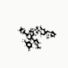 CC1C[C@](O)(Cn2ccnc2)C[C@H](C)N1S(=O)(=O)N[C@H]1CC2=C(c3ccn(C(F)F)n3)[C@H](c3ccc(F)cc3Cl)N=C(c3nccs3)N2C1